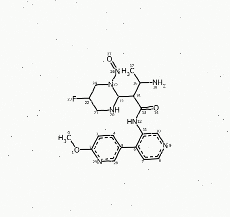 COc1ccc(-c2ccncc2NC(=O)C(C(C)N)C2NCC(F)CN2N=O)cn1